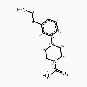 CC[CH]c1ccnc(N2CCN(C(C)=O)CC2)c1